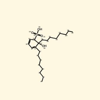 CCCCCCCCC1=CC=CC(S(=O)(=O)O)C1(O)CCCCCCCC